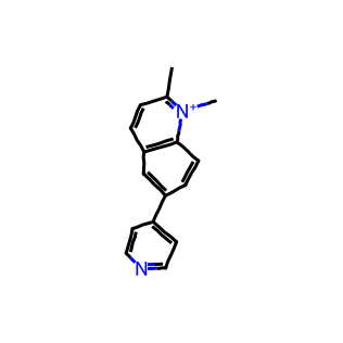 Cc1ccc2cc(-c3ccncc3)ccc2[n+]1C